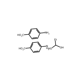 CCC(O)O.Nc1ccc(C(=O)O)cc1.Nc1ccc(C(=O)O)cc1